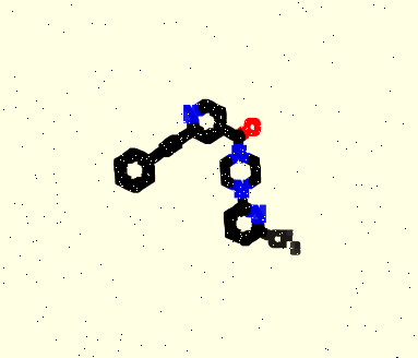 O=C(c1ccnc(C#Cc2ccccc2)c1)N1CCN(c2cccc(C(F)(F)F)n2)CC1